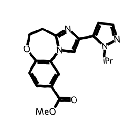 COC(=O)c1ccc2c(c1)-n1cc(-c3ccnn3C(C)C)nc1CCO2